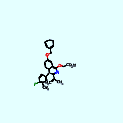 C=C(C)c1nc(OCC(=O)O)c2cc(OCc3ccccc3)ccc2c1-c1ccc(F)c(C)c1